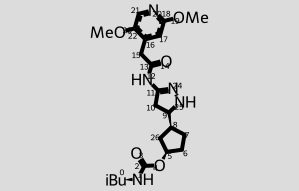 CC[C@H](C)NC(=O)O[C@@H]1CC[C@H](C2CC(NC(=O)Cc3cc(OC)ncc3OC)=NN2)C1